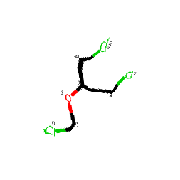 ClCOC(CCl)CCl